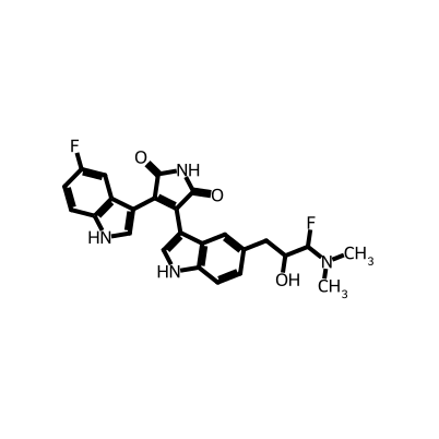 CN(C)C(F)C(O)Cc1ccc2[nH]cc(C3=C(c4c[nH]c5ccc(F)cc45)C(=O)NC3=O)c2c1